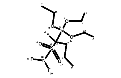 CCCC(F)([Si](OCC)(OCC)OCC)S(=O)(=O)N(F)F